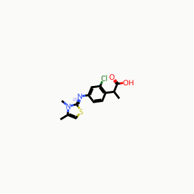 Cc1cs/c(=N\c2ccc(C(C)C(=O)O)c(Cl)c2)n1C